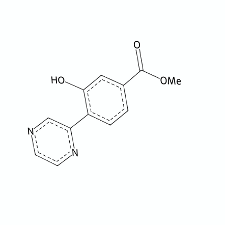 COC(=O)c1ccc(-c2cnccn2)c(O)c1